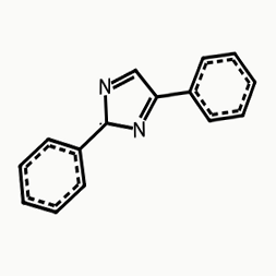 C1=N[C](c2ccccc2)N=C1c1ccccc1